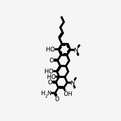 CCC/C=C/c1cc(N(C)C)c2c(c1O)C(=O)C1=C(O)C3(O)C(=O)C(C(N)=O)=C(O)C(N(C)C)C3CC1C2